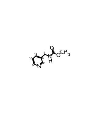 COC(=O)NCc1[c]nccc1